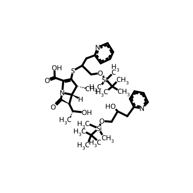 CC(C)(C)[Si](C)(C)OCC(O)Cc1ccccn1.C[C@@H](O)[C@H]1C(=O)N2C(C(=O)O)=C(SC(CO[Si](C)(C)C(C)(C)C)Cc3ccccn3)[C@H](C)[C@H]12